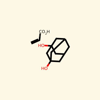 C=CC(=O)O.OC12CC3CC(C1)CC(O)(C3)C2